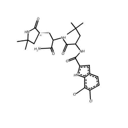 CC(C)(C)CC(NC(=O)c1cc2ccc(Cl)c(Cl)c2[nH]1)C(=O)NC(C[C@@H]1CC(C)(C)NC1=O)C(N)=O